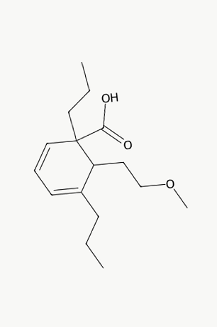 CCCC1=CC=CC(CCC)(C(=O)O)C1CCOC